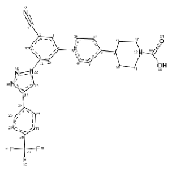 N#Cc1cc(-c2ccc(C3CCN(C(=O)O)CC3)cc2)cc(-n2cc(-c3ccc(C(F)(F)F)cc3)nn2)c1